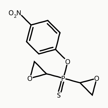 O=[N+]([O-])c1ccc(OP(=S)(C2CO2)C2CO2)cc1